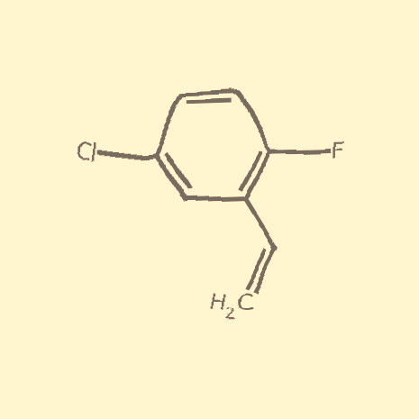 C=Cc1cc(Cl)ccc1F